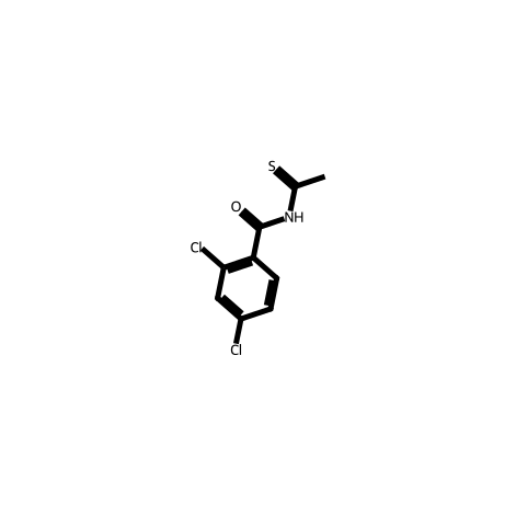 CC(=S)NC(=O)c1ccc(Cl)cc1Cl